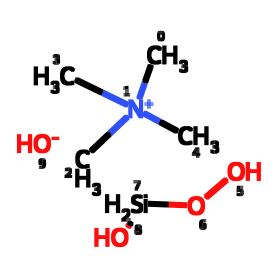 C[N+](C)(C)C.OO[SiH2]O.[OH-]